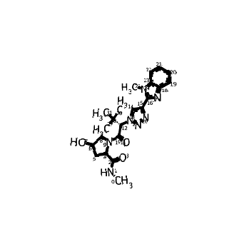 CNC(=O)C1CC(O)CN1C(=O)[C@@H](n1cc(-c2nc3ccccc3n2C)nn1)C(C)(C)C